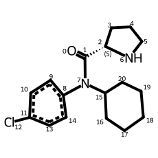 O=C([C@@H]1CCCN1)N(c1ccc(Cl)cc1)C1CCCCC1